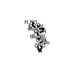 CC[C@@H](C)[C@@](C)(NC(=O)[C@@H]1[C@H]2C[C@H]2CN1C(=O)[C@@H](NC(=O)N[C@H](CN1C(=O)CC(C)(C)CC1=O)C(C)(C)C)C(C)(C)C)C(=O)C(N)=O